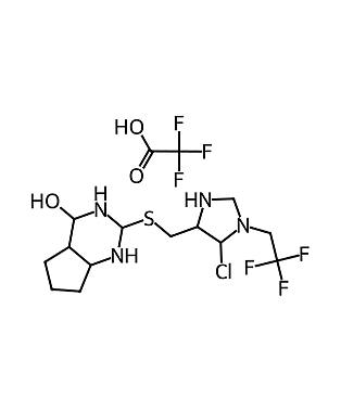 O=C(O)C(F)(F)F.OC1NC(SCC2NCN(CC(F)(F)F)C2Cl)NC2CCCC12